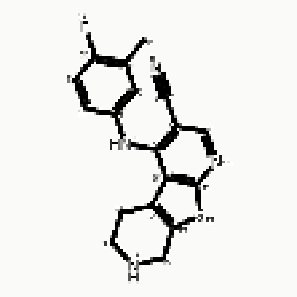 Cc1cc(Nc2c(C#N)cnc3sc4c(c23)CCNC4)ccc1F